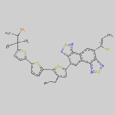 C/C=C(\S)c1cc2c(cc(-c3cc(CC(C)C)c(-c4ccc(-c5ccc(C(C)(CC)C(C)P)s5)s4)s3)c3nsnc32)c2nsnc12